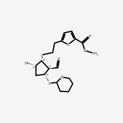 COC(=O)c1ccc(CCC[C@@H]2[C@@H](C=O)[C@H](OC3CCCCO3)C[C@@H]2Cl)s1